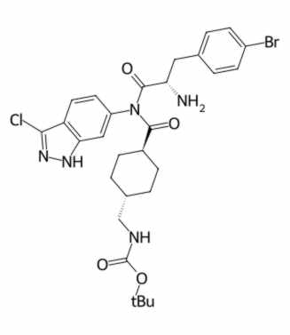 CC(C)(C)OC(=O)NC[C@H]1CC[C@H](C(=O)N(C(=O)[C@@H](N)Cc2ccc(Br)cc2)c2ccc3c(Cl)n[nH]c3c2)CC1